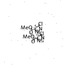 COC(=O)c1cc(Cl)nc(Cl)n1.COC(=O)c1ccncn1